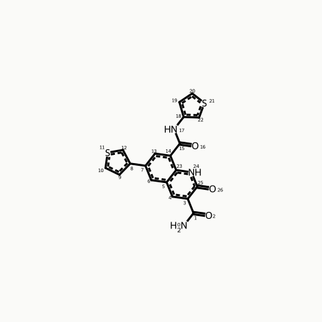 NC(=O)c1cc2cc(-c3ccsc3)cc(C(=O)Nc3ccsc3)c2[nH]c1=O